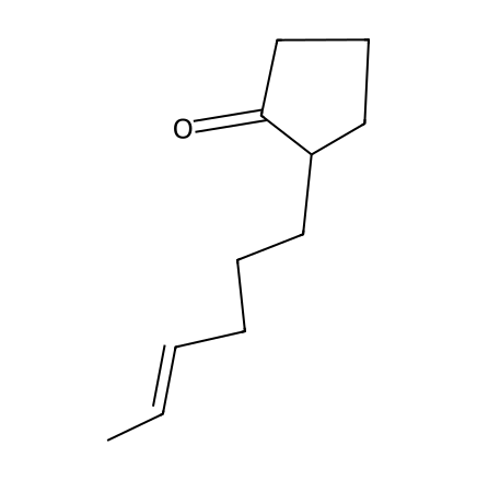 CC=CCCCC1CCCC1=O